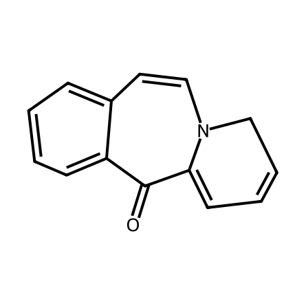 O=C1C2=CC=CCN2C=Cc2ccccc21